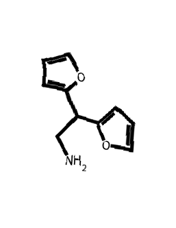 NCC(c1ccco1)c1ccco1